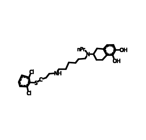 CCCN(CCCCCCNCCCSc1c(Cl)cccc1Cl)C1CCc2c(ccc(O)c2O)C1